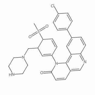 CS(=O)(=O)C1C=CC(n2c(=O)ccc3cnc4ccc(-c5ccc(Cl)cc5)cc4c32)=CC1CN1CCNCC1